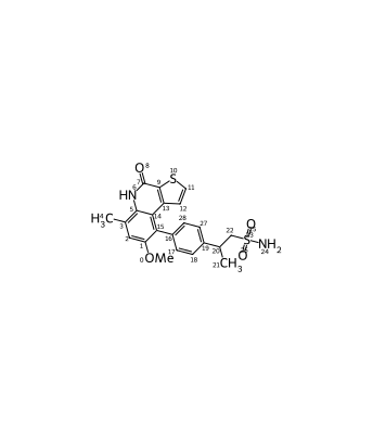 COc1cc(C)c2[nH]c(=O)c3sccc3c2c1-c1ccc(C(C)CS(N)(=O)=O)cc1